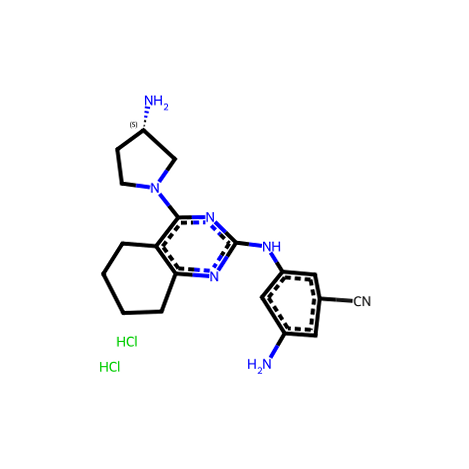 Cl.Cl.N#Cc1cc(N)cc(Nc2nc3c(c(N4CC[C@H](N)C4)n2)CCCC3)c1